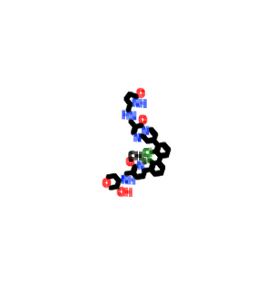 COc1nc(-c2cccc(-c3cccc(-c4ccn5c(=O)c(CNCC6CCC(=O)N6)cnc5c4)c3Cl)c2Cl)ccc1CN[C@@H]1CCOC[C@@H]1O